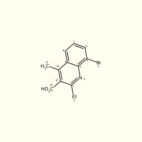 CCc1nc2c(Br)cccc2c(C)c1C(=O)O